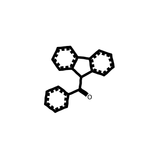 O=C(c1ccccc1)C1c2ccccc2-c2ccccc21